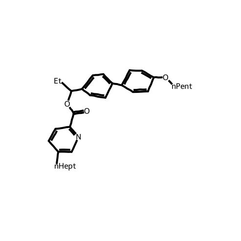 CCCCCCCc1ccc(C(=O)OC(CC)c2ccc(-c3ccc(OCCCCC)cc3)cc2)nc1